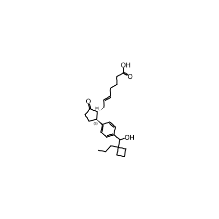 CCCC1(C(O)c2ccc([C@H]3CCC(=O)[C@@H]3CC=CCCCC(=O)O)cc2)CCC1